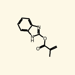 C=C(C)C(=O)Oc1nc2ccccc2[nH]1